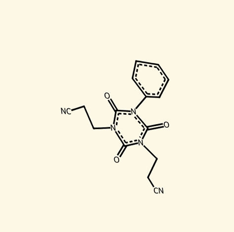 N#CCCn1c(=O)n(CCC#N)c(=O)n(-c2ccccc2)c1=O